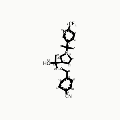 CC(C)(c1ccc(C(F)(F)F)nc1)N1CC[C@@](CCc2ccc(C#N)cc2)(C(C)(C)O)C1